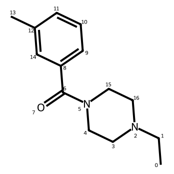 CCN1CCN(C(=O)c2cccc(C)c2)CC1